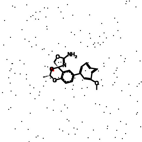 COC1=C/C(c2ccc3c(c2)[C@@]2(COC(N)=N2)C2(COC2)[C@@H](C)O3)=C\C=C\C=C\1